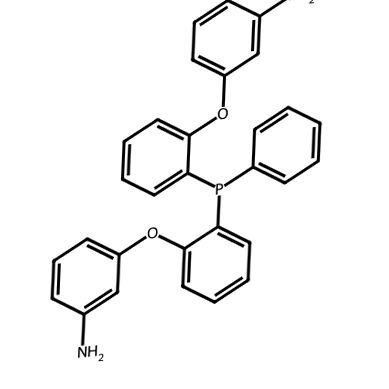 Nc1cccc(Oc2ccccc2P(c2ccccc2)c2ccccc2Oc2cccc(N)c2)c1